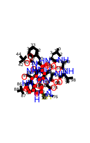 CC(C)C[C@H](NC(=O)CNC(=O)[C@H](Cc1ccccc1)N(C)C(=O)[C@H](C)NC(=O)[C@H](Cc1ccccc1)NC(=O)OC(C)(C)C)C(=O)N[C@@H](C)C(=O)N[C@H](C(=O)N[C@@H](Cc1ccccc1)C(=O)N[C@@H](CC(=O)S)C(=O)N(C)[C@@H](C)C(=O)N[C@@H](COC(C)(C)C)C(=O)NCC(N)=O)C(C)C